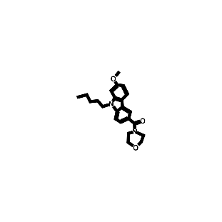 CCCCCn1c2ccc(C(=O)N3CCOCC3)cc2c2ccc(OC)cc21